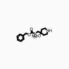 COC1(CNC(=O)OCc2ccccc2)CCNCC1